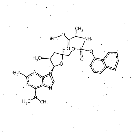 CC(C)OC(=O)[C@H](C)NP(=O)(OC[C@]1(F)C[C@H](C)[C@H](n2cnc3c(N(C)C)nc(N)nc32)O1)Oc1cccc2ccccc12